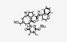 C[C@@H](C(=O)N[C@H]1CN(CC#N)CC[C@H]2CC[C@@H](C(=O)N[C@@H]3CCOc4ccccc43)N2C1=O)N(C)C(=O)OC(C)(C)C